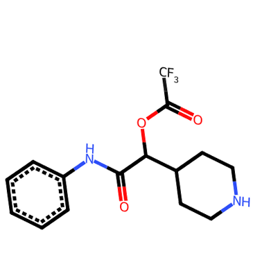 O=C(Nc1ccccc1)C(OC(=O)C(F)(F)F)C1CCNCC1